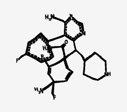 NC(=O)C1(C(c2ncnc(N)c2-c2ccc(F)cc2)C2CCNCC2)C=CC(N)(F)C=C1F